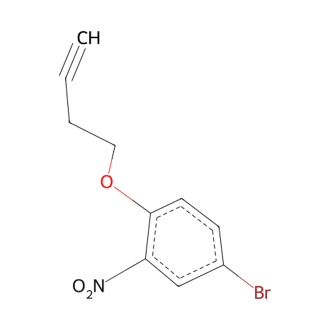 C#CCCOc1ccc(Br)cc1[N+](=O)[O-]